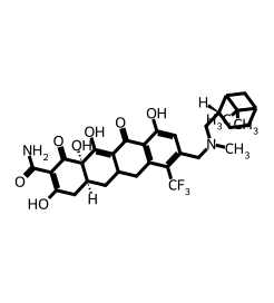 CN(Cc1cc(O)c2c(c1C(F)(F)F)CC1C[C@H]3CC(O)=C(C(N)=O)C(=O)[C@@]3(O)C(O)=C1C2=O)C[C@H]1CCC2CC1C2(C)C